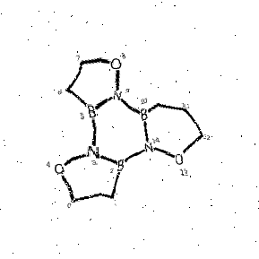 C1CB2N(O1)B1CCON1B1CCON21